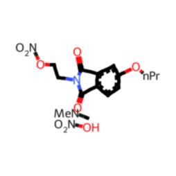 CCCOc1ccc2c(c1)C(=O)N(CCO[N+](=O)[O-])C2=O.CNC.O=[N+]([O-])O